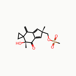 C=C1C2=C[C@](C)(COS(C)(=O)=O)C=C2C(=O)[C@](C)(O)C12CC2